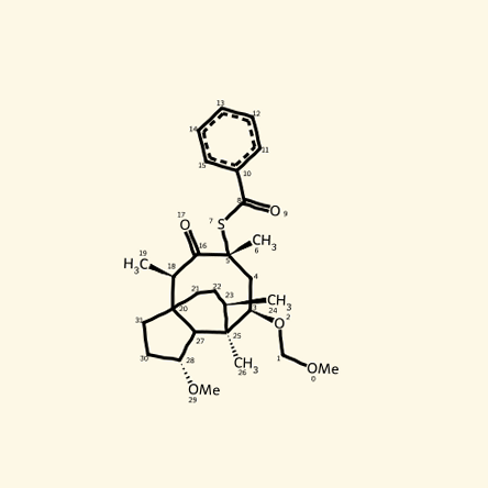 COCO[C@@H]1C[C@@](C)(SC(=O)c2ccccc2)C(=O)[C@H](C)C23CC[C@@H](C)[C@]1(C)C2[C@H](OC)CC3